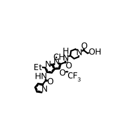 CCc1nc2c(cc1NC(=O)c1ccccn1)c(OCC(F)(F)F)c(C(=O)NC1CCN(C(=O)CO)CC1)n2C